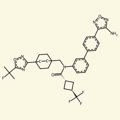 CC(C)(F)c1nc(C23CCC(CN(c4cccc(-c5ccc(-c6nonc6N)cc5)c4)C(=O)[C@H]4C[C@H](C(F)(F)F)C4)(CC2)CC3)no1